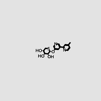 Cc1ccnc(-c2cncc(O[C@H]3SC[C@@H](O)[C@H](O)[C@H]3O)c2)c1